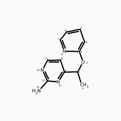 CC(Oc1ccccn1)c1ccnc(N)n1